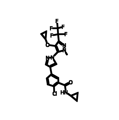 Cn1nc(C(F)(F)C(F)(F)F)c(OC2CC2)c1-n1cc(-c2ccc(Cl)c(C(=O)NC3CC3)c2)cn1